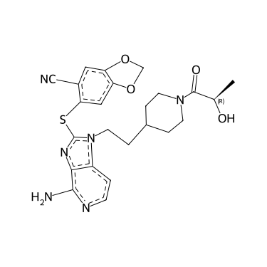 C[C@@H](O)C(=O)N1CCC(CCn2c(Sc3cc4c(cc3C#N)OCO4)nc3c(N)nccc32)CC1